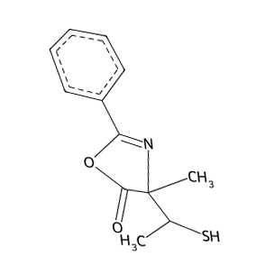 CC(S)C1(C)N=C(c2ccccc2)OC1=O